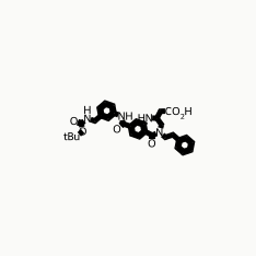 CC(C)(C)OC(=O)NCc1cccc(NC(=O)c2ccc3c(c2)NC(CC(=O)O)CN(CCc2ccccc2)C3=O)c1